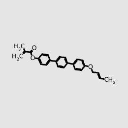 C=C(C)C(=O)Oc1ccc(-c2ccc(-c3ccc(OC/C=C/C)cc3)cc2)cc1